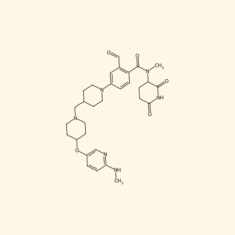 CNc1ccc(OC2CCN(CC3CCN(c4ccc(C(=O)N(C)C5CCC(=O)NC5=O)c(C=O)c4)CC3)CC2)cn1